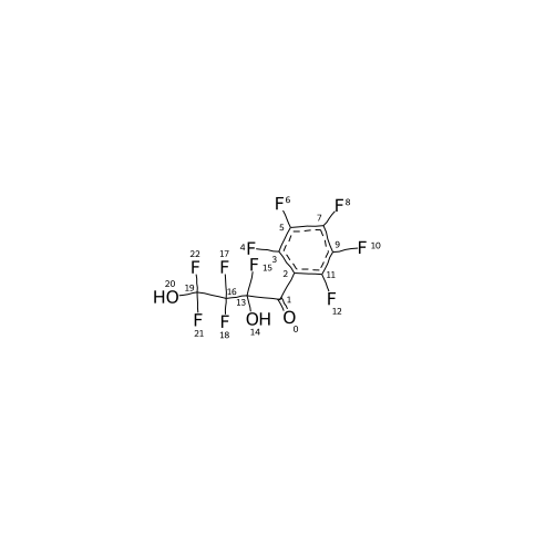 O=C(c1c(F)c(F)c(F)c(F)c1F)C(O)(F)C(F)(F)C(O)(F)F